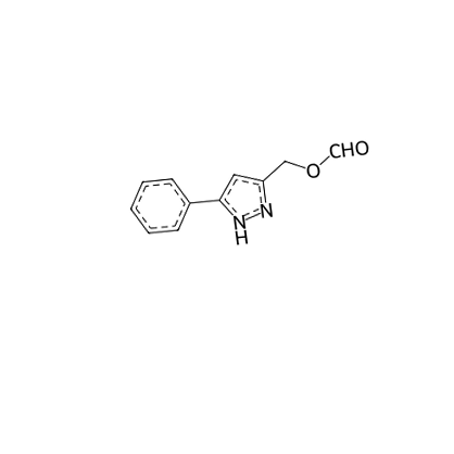 O=COCc1cc(-c2ccccc2)[nH]n1